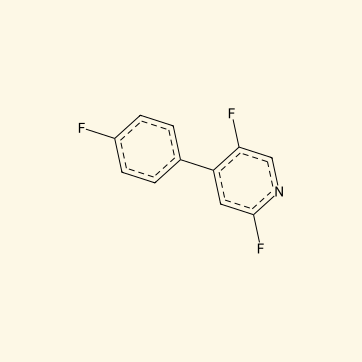 Fc1ccc(-c2cc(F)ncc2F)cc1